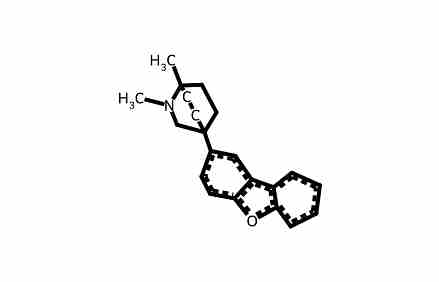 CN1CC2(c3ccc4oc5ccccc5c4c3)CCC1(C)CC2